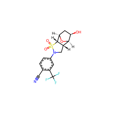 N#Cc1ccc(N2C[C@H]3[C@H]4O[C@H](C[C@H]4O)[C@H]3S2(=O)=O)cc1C(F)(F)F